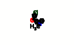 CCn1c2ccccc2c2cc(C(=O)c3ccc(Cl)cc3)ccc21